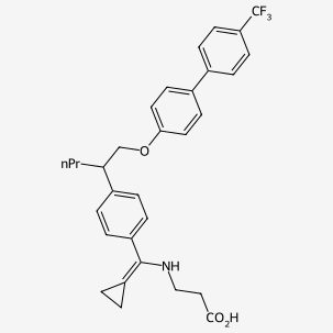 CCCC(COc1ccc(-c2ccc(C(F)(F)F)cc2)cc1)c1ccc(C(NCCC(=O)O)=C2CC2)cc1